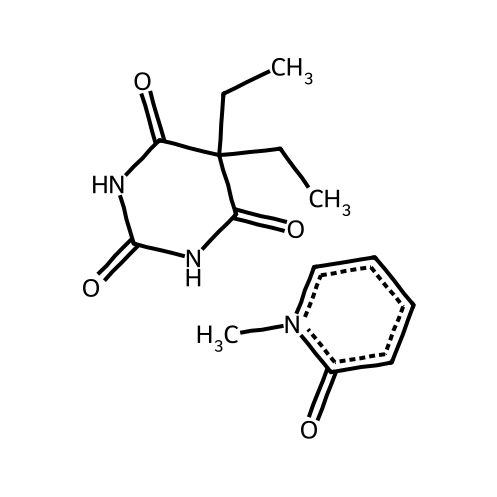 CCC1(CC)C(=O)NC(=O)NC1=O.Cn1ccccc1=O